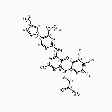 COc1cc(Nc2cc(Cl)cn(C(CCC(N)=O)c3cc(F)c(F)c(F)c3)c2=O)ccc1-n1cnc(C)c1